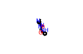 Cc1cc(-c2noc([C@H](C)NC(=O)C3CCCCC3)n2)ccn1